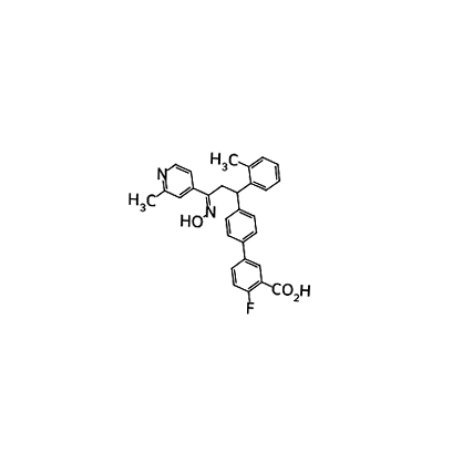 Cc1cc(C(CC(c2ccc(-c3ccc(F)c(C(=O)O)c3)cc2)c2ccccc2C)=NO)ccn1